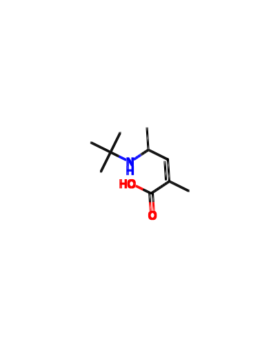 CC(=CC(C)NC(C)(C)C)C(=O)O